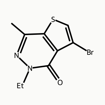 CCn1nc(C)c2scc(Br)c2c1=O